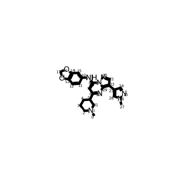 CN1CCCC(c2cc(Nc3ccc4c(c3)OCO4)n3ncc(-c4cnn(C)c4)c3n2)C1